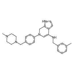 Cc1cccc(CNC2=CN(c3ccc(CN4CCN(C)CC4)cc3)Cc3[nH]ccc32)c1